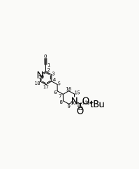 C#Cc1cc(CCC2CCN(C(=O)OC(C)(C)C)CC2)ccn1